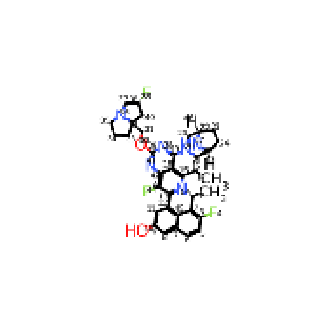 CCc1c(F)ccc2cc(O)cc(-c3nc(CC)c4c(N5C[C@H]6CC[C@@H](C5)N6)nc(OC[C@@]56CCCN5C[C@H](F)C6)nc4c3F)c12